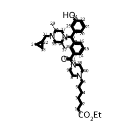 CCOC(=O)CCCCCCN1CCN(C(=O)c2cccc(C(c3cccc(O)c3)N3C[C@@H](C)N(CC4CC4)C[C@@H]3C)c2)CC1